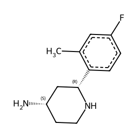 Cc1cc(F)ccc1[C@H]1C[C@@H](N)CCN1